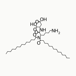 CCCCCCCCCCCCCC(=O)N(C(=O)CCCCCCCCCCCCC)C(CCCCN)C(=O)NC(CC(=O)O)C(=O)O